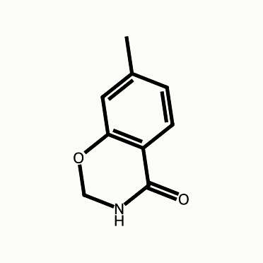 Cc1ccc2c(c1)OCNC2=O